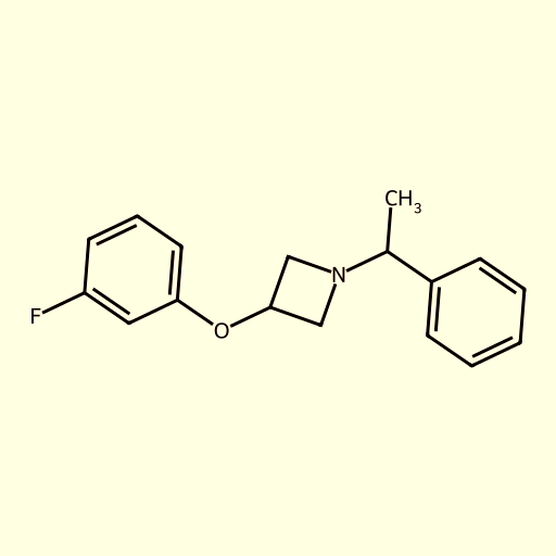 CC(c1ccccc1)N1CC(Oc2cccc(F)c2)C1